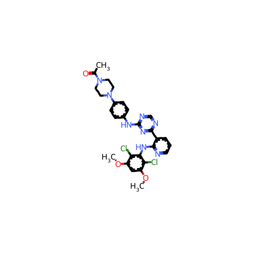 COc1cc(OC)c(Cl)c(Nc2ncccc2-c2ncnc(Nc3ccc(N4CCN(C(C)=O)CC4)cc3)n2)c1Cl